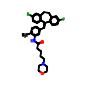 Cc1ccc(C=C2c3ccc(F)cc3CCc3cc(F)ccc32)cc1NC(=O)CCCCN1CCOCC1